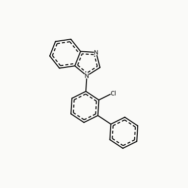 Clc1c(-c2ccccc2)cccc1-n1cnc2ccccc21